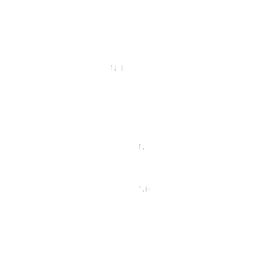 CCC=C(C(N)=O)c1csc(N)n1